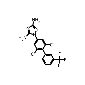 Nc1nc(N)n(-c2cc(Cl)c(-c3cccc(C(F)(F)F)c3)c(Cl)c2)n1